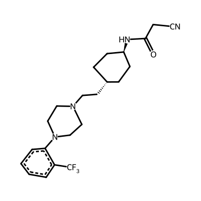 N#CCC(=O)N[C@H]1CC[C@H](CCN2CCN(c3ccccc3C(F)(F)F)CC2)CC1